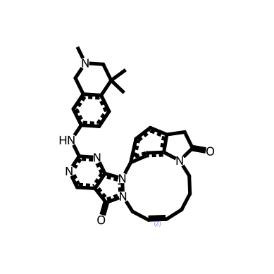 CN1Cc2cc(Nc3ncc4c(=O)n5n(c4n3)-c3ccc4c(c3)N(CCC/C=C\C5)C(=O)C4)ccc2C(C)(C)C1